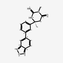 CN1C(=N)N[C@](C)(c2cccc(-c3ccc4nonc4c3)c2)CC1=O